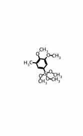 COc1cc([Si](OC)(OC)OC)cc(C)c1OC